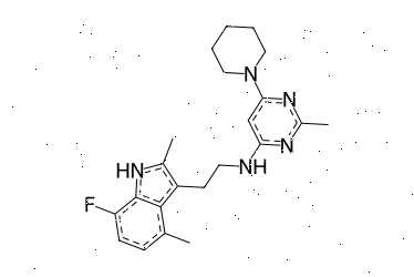 Cc1nc(NCCc2c(C)[nH]c3c(F)ccc(C)c23)cc(N2CCCCC2)n1